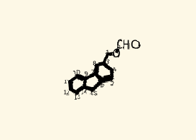 O=COCc1ccc2c(c1)-c1ccccc1C2